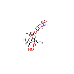 Cc1c(C)c2c(c(C)c1OCCO)CCC(C)(COc1ccc(CC3SC(=O)NC3=O)cc1)O2